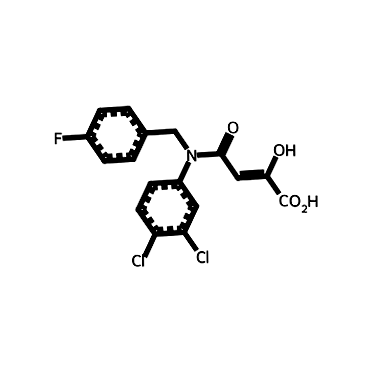 O=C(O)C(O)=CC(=O)N(Cc1ccc(F)cc1)c1ccc(Cl)c(Cl)c1